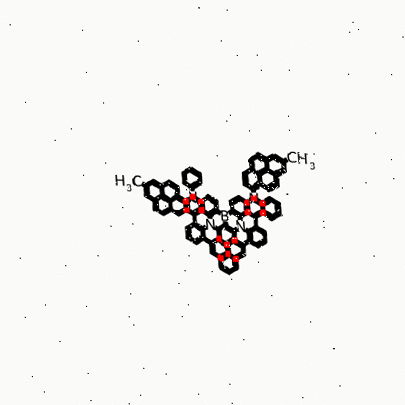 Cc1cc2ccc3ccc(N(c4ccccc4)c4ccc5c(c4)N(c4c(-c6ccccc6)cccc4-c4ccccc4)c4cc(-c6ccccc6)cc6c4B5c4ccc(N(c5ccccc5)c5ccc7ccc8cc(C)cc9ccc5c7c89)cc4N6c4c(-c5ccccc5)cccc4-c4ccccc4)c4ccc(c1)c2c34